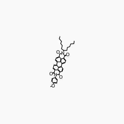 CCCCCCC(CCCCCC)N1C(=O)c2ccc3c4ccc5c6c(ccc(c7ccc(c2c37)C1=O)c64)C(=O)N(c1ccc(OC)cc1)C5=O